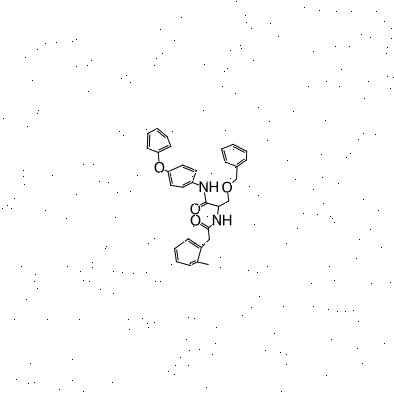 Cc1ccccc1CC(=O)NC(COCc1ccccc1)C(=O)Nc1ccc(Oc2ccccc2)cc1